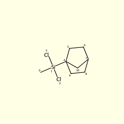 C[Si](Cl)(Cl)C12CCC(CC1)C2